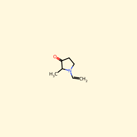 C=CN1CCC(=O)C1C